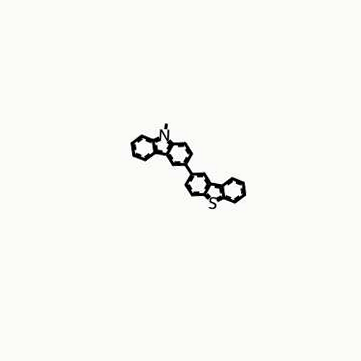 Cn1c2ccccc2c2cc(-c3ccc4sc5ccccc5c4c3)ccc21